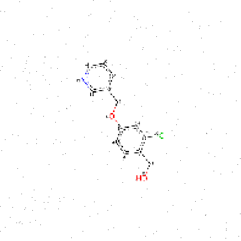 OCc1ccc(OCc2cccnc2)cc1Cl